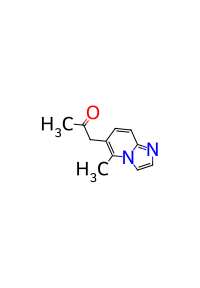 CC(=O)Cc1ccc2nccn2c1C